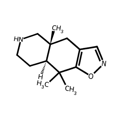 CC1(C)c2oncc2C[C@@]2(C)CNCC[C@H]12